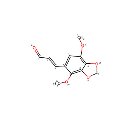 COc1cc(C=CC=O)c(OC)c2c1OCO2